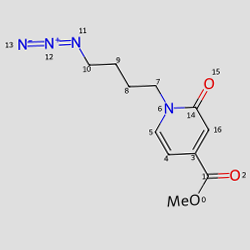 COC(=O)c1ccn(CCCCN=[N+]=[N-])c(=O)c1